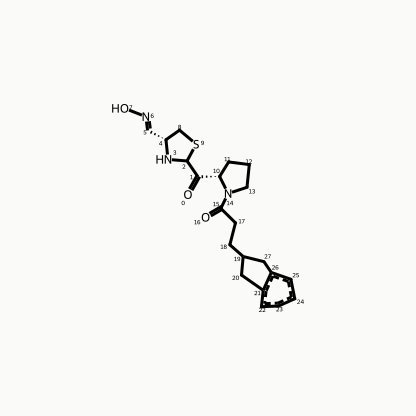 O=C(C1N[C@H](C=NO)CS1)[C@@H]1CCCN1C(=O)CCC1Cc2ccccc2C1